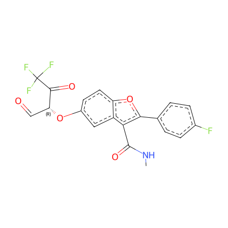 CNC(=O)c1c(-c2ccc(F)cc2)oc2ccc(O[C@H](C=O)C(=O)C(F)(F)F)cc12